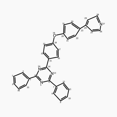 c1ccc(-c2nc(-c3ccccc3)nc(-c3ccc(Oc4ccc(-c5ccncc5)cc4)cc3)n2)cc1